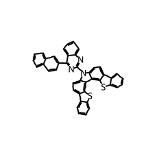 c1ccc2cc(-c3nc(-n4c5ccc6c7ccccc7sc6c5c5c6sc7ccccc7c6ccc54)nc4ccccc34)ccc2c1